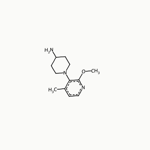 COc1nccc(C)c1N1CCC(N)CC1